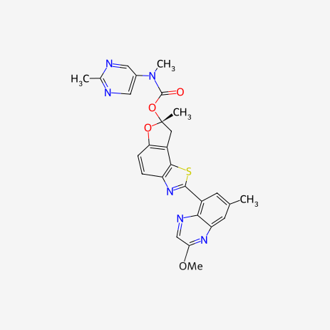 COc1cnc2c(-c3nc4ccc5c(c4s3)C[C@@](C)(OC(=O)N(C)c3cnc(C)nc3)O5)cc(C)cc2n1